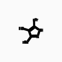 CCCCc1n[nH]c(CCC)c1O